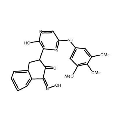 COc1cc(Nc2cnc(O)c(C3Cc4ccccc4C(=NO)C3=O)n2)cc(OC)c1OC